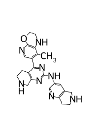 Cc1c(-c2nc(Nc3cnc4c(c3)CNCC4)nc3c2CCNC3)cnc2c1NCCO2